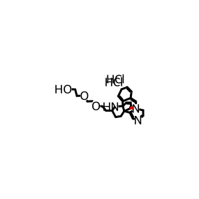 Cl.Cl.OCCOCCOCCC1CCC23C=CC=CC2(N1)C1=CCC=CC1=CN1CC=NC=C13